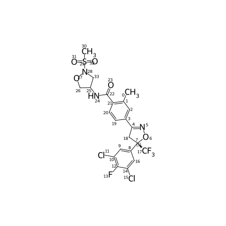 Cc1cc(C2=NO[C@@](c3cc(Cl)c(F)c(Cl)c3)(C(F)(F)F)C2)ccc1C(=O)NC1CON(S(C)(=O)=O)C1